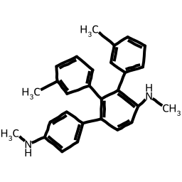 CNc1ccc(-c2ccc(NC)c(-c3cccc(C)c3)c2-c2cccc(C)c2)cc1